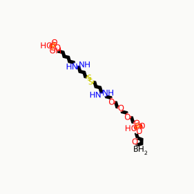 BC1CCC(COP(=O)(O)OCCOCCOCCOCCNC(=N)CCCSSCCCC(=N)NCCCCCCOP(=O)(O)O)O1